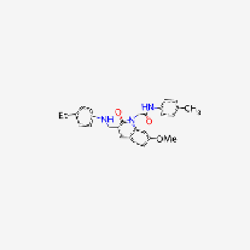 CCc1ccc(NCc2cc3ccc(OC)cc3n(CC(=O)Nc3ccc(C)cc3)c2=O)cc1